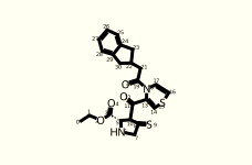 CCOC(=O)[C@H]1NCC(=S)C1C(=O)C1=CSC=CN1C(=O)CC1Cc2ccccc2C1